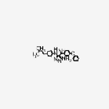 CC(C)CCC1CCC(Nc2ncnc(N)c2C(=N)c2ccc(Oc3ccccc3)cc2)CC1